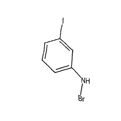 BrNc1cccc(I)c1